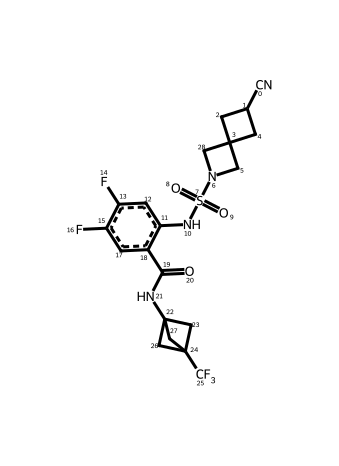 N#CC1CC2(C1)CN(S(=O)(=O)Nc1cc(F)c(F)cc1C(=O)NC13CC(C(F)(F)F)(C1)C3)C2